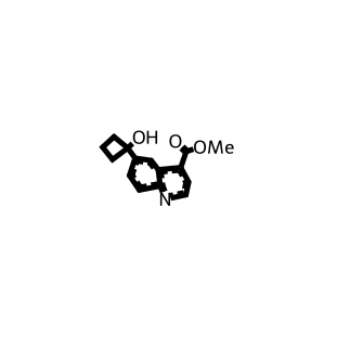 COC(=O)c1ccnc2ccc(C3(O)CCC3)cc12